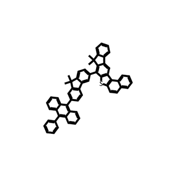 CC1(C)c2ccc(-c3c4c(cc5c3sc3ccc6ccccc6c35)-c3ccccc3C4(C)C)cc2-c2ccc(-c3c4ccccc4c(-c4ccccc4)c4ccccc34)cc21